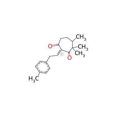 Cc1ccc(C/C=C2\C(=O)CCC(C)C(C)(C)C2=O)cc1